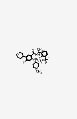 Cc1c([C@@H](C)NC(=O)c2cc(C3CCOCC3)c(F)cc2NC2CCN(C)CC2)cccc1C(F)(F)F